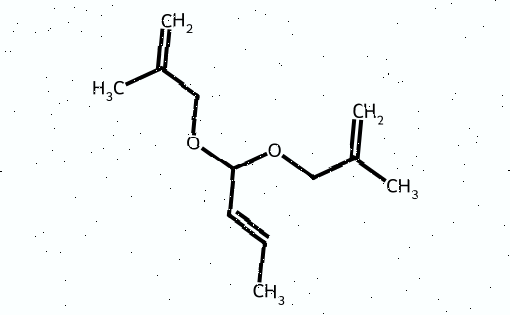 C=C(C)COC(C=CC)OCC(=C)C